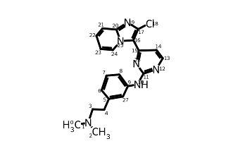 CN(C)CCc1cccc(Nc2nccc(-c3c(Cl)nc4ccccn34)n2)c1